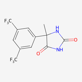 CC1(c2cc(C(F)(F)F)cc(C(F)(F)F)c2)NC(=O)NC1=O